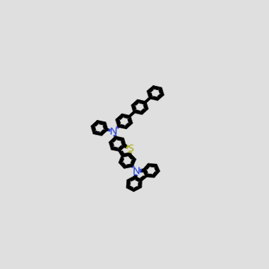 c1ccc(-c2ccc(-c3ccc(N(c4ccccc4)c4ccc5c(c4)sc4cc(-n6c7ccccc7c7ccccc76)ccc45)cc3)cc2)cc1